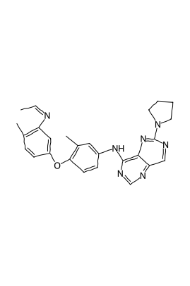 C/C=N\c1cc(Oc2ccc(Nc3ncnc4cnc(N5CCCC5)nc34)cc2C)ccc1C